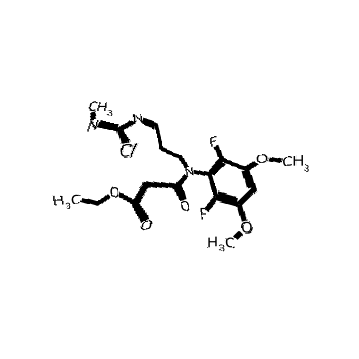 CCOC(=O)CC(=O)N(CC/C=N\C(Cl)=N/C)c1c(F)c(OC)cc(OC)c1F